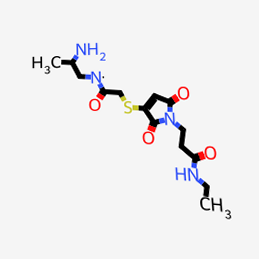 CCNC(=O)CCN1C(=O)C=C(SCC(=O)[N]CC(C)N)C1=O